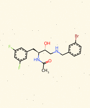 CC(=O)N[C@@H](Cc1cc(F)cc(F)c1)[C@H](O)CNCc1cccc(Br)c1